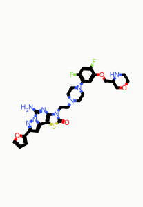 Nc1nc2c(sc(=O)n2CCN2CCN(c3cc(OCC4COCCN4)c(F)cc3F)CC2)c2cc(-c3ccco3)nn12